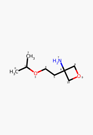 CC(C)OCCC1(N)COC1